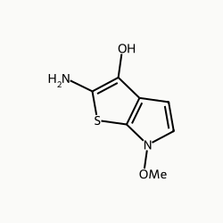 COn1ccc2c(O)c(N)sc21